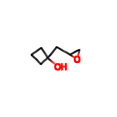 OC1(CC2CO2)CCC1